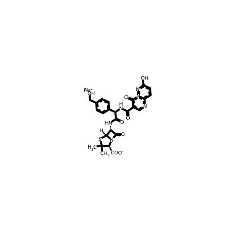 CC1(C)S[C@@H]2[C@H](NC(=O)C(NC(=O)c3cnc4ccc(O)nn4c3=O)c3ccc(CO)cc3)C(=O)N2[C@H]1C(=O)[O-].[Na+]